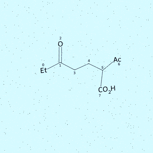 CCC(=O)CCC(C(C)=O)C(=O)O